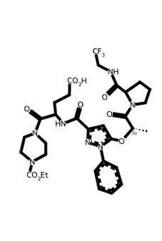 CCOC(=O)N1CCN(C(=O)C(CCC(=O)O)NC(=O)c2cc(O[C@@H](C)C(=O)N3CCCC3C(=O)NCC(F)(F)F)n(-c3ccccc3)n2)CC1